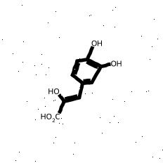 O=C(O)C(O)=Cc1ccc(O)c(O)c1